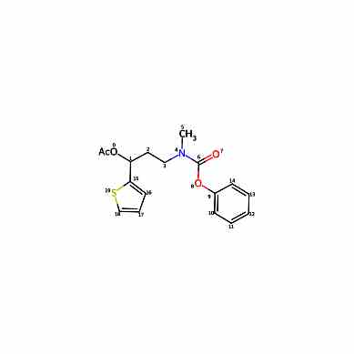 CC(=O)OC(CCN(C)C(=O)Oc1ccccc1)c1cccs1